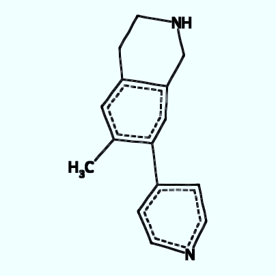 Cc1cc2c(cc1-c1ccncc1)CNCC2